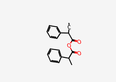 CCC(C(=O)OC(=O)C(C)c1ccccc1)c1ccccc1